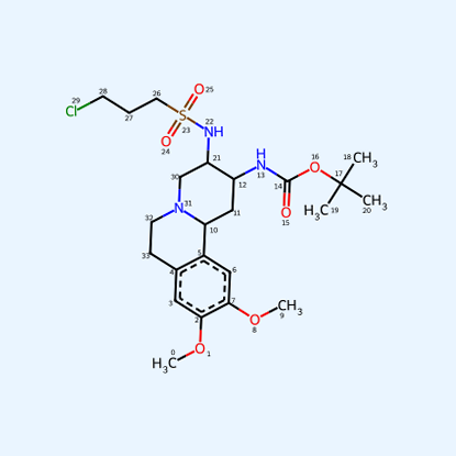 COc1cc2c(cc1OC)C1CC(NC(=O)OC(C)(C)C)C(NS(=O)(=O)CCCCl)CN1CC2